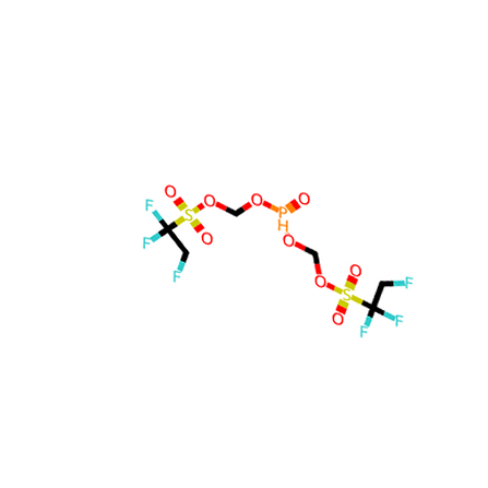 O=[PH](OCOS(=O)(=O)C(F)(F)CF)OCOS(=O)(=O)C(F)(F)CF